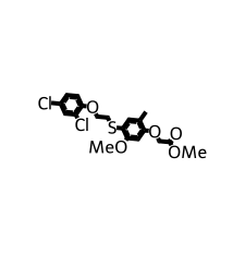 COC(=O)COc1cc(OC)c(SCCOc2ccc(Cl)cc2Cl)cc1C